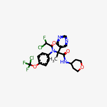 CC(C(=O)NC1CCOCC1)(c1cncnc1)N(C(=O)C(F)Cl)c1ccc(OC(F)(F)Cl)cc1